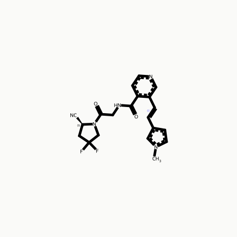 Cn1ccc(/C=C/c2cnccc2C(=O)NCC(=O)N2CC(F)(F)C[C@H]2C#N)c1